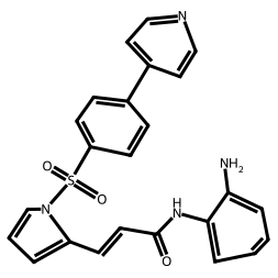 Nc1ccccc1NC(=O)C=Cc1cccn1S(=O)(=O)c1ccc(-c2ccncc2)cc1